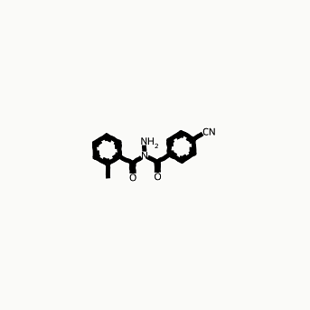 Cc1ccccc1C(=O)N(N)C(=O)c1ccc(C#N)cc1